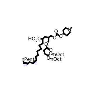 CCCCC/C=C\C/C=C\CCCCCCC(CC(COC(=O)CCC(OCCCCCCCC)OCCCCCCCC)COC(=O)OC1CCN(C)CC1)C(=O)O